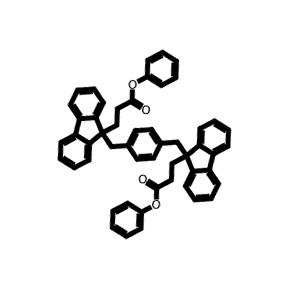 O=C(CCC1(Cc2ccc(CC3(CCC(=O)Oc4ccccc4)c4ccccc4-c4ccccc43)cc2)c2ccccc2-c2ccccc21)Oc1ccccc1